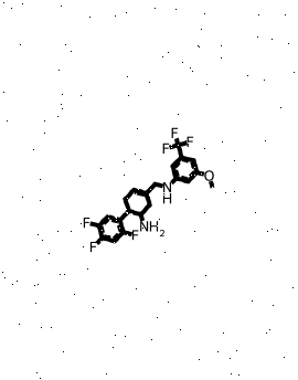 COc1cc(NCC2=CCC(c3cc(F)c(F)cc3F)C(N)C2)cc(C(F)(F)F)c1